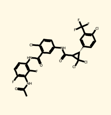 CC(=O)Nc1c(F)ccc(NC(=O)c2cc(NC(=O)C3[C@H](c4ccc(Cl)c(C(F)(F)F)c4)C3(Cl)Cl)ccc2Cl)c1F